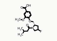 COc1cc(C(=O)O)ccc1OC[C@@H]1CC(F)CN1C(=O)CC(C)C